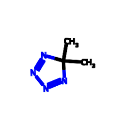 CC1(C)N=NN=N1